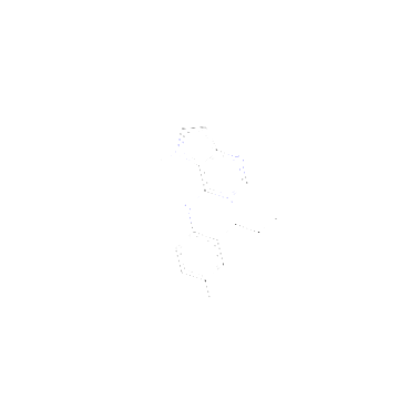 Cc1ccc(Nc2ncnc3ccn(C)c23)c(CCC(C)C)c1